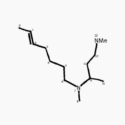 C/C=C/CCCCN(C)C(C)CCNC